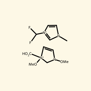 CON1C=C[N+](OC)(C(=O)O)C1.Cn1cc[n+](C(F)F)c1